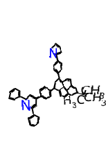 CC(C)(C)c1cc2ccc3c(-c4ccc(-c5cc(-c6ccccc6)nc(-c6ccccc6)c5)cc4)cc(-c4ccc(-c5ccccn5)cc4)c4ccc(c1)c2c34